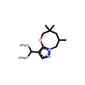 CCCCCCCC(CCCCC)c1cnn2c1OCC(C)(C)CC(C)C2